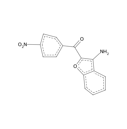 Nc1c(C(=O)c2ccc([N+](=O)[O-])cc2)oc2ccccc12